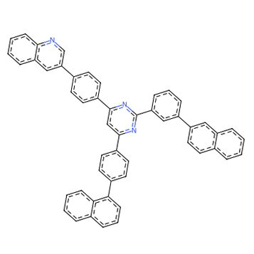 c1cc(-c2ccc3ccccc3c2)cc(-c2nc(-c3ccc(-c4cnc5ccccc5c4)cc3)cc(-c3ccc(-c4cccc5ccccc45)cc3)n2)c1